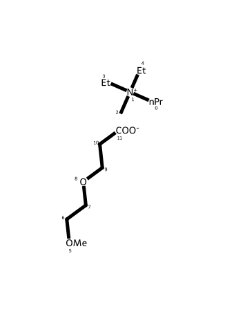 CCC[N+](C)(CC)CC.COCCOCCC(=O)[O-]